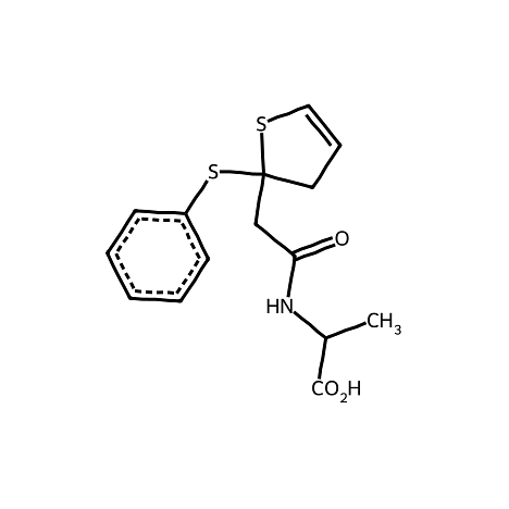 CC(NC(=O)CC1(Sc2ccccc2)CC=CS1)C(=O)O